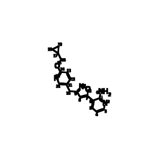 Nc1ncccc1-c1cc(Cc2ccc(OCC3CC3)nc2)no1